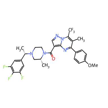 COc1ccc(-c2nc3c(C(=O)N4CCN([C@@H](C)c5cc(F)c(F)c(F)c5)C[C@H]4C)cnn3c(C(F)(F)F)c2C)cc1